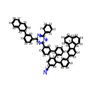 N#Cc1ccc(-c2ccccc2-c2cccc(-c3nc(-c4ccccc4)nc(-c4cccc(-c5ccc6ccccc6c5)c4)n3)c2)c(-c2cccc(-c3ccc4c(c3)-c3cccc5cccc-4c35)c2)c1